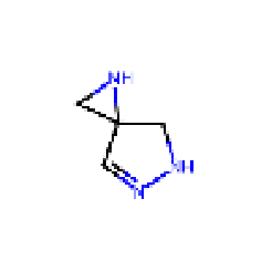 C1=NNCC12CN2